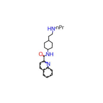 CCCNCCC1CCC(NC(=O)c2ccc3ccccc3n2)CC1